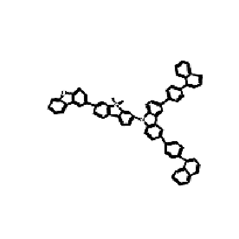 C[Si]1(C)c2cc(-c3ccc4oc5ccccc5c4c3)ccc2-c2ccc(-n3c4ccc(-c5ccc(-c6cccc7ccccc67)cc5)cc4c4cc(-c5ccc(-c6cccc7ccccc67)cc5)ccc43)cc21